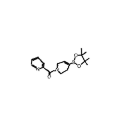 CC1(C)OB(C2=CCN(C(=O)c3ccccn3)CC2)OC1(C)C